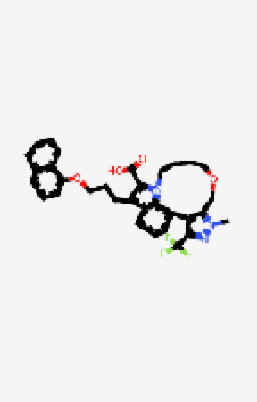 Cn1nc(C(F)(F)F)c2c1COCCCCn1c(C(=O)O)c(CCCOc3cccc4ccccc34)c3cccc-2c31